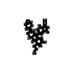 CCCC/C(=C1/CN(C2CCOCC2)CC/C1=C/c1c(CC)cccc1CCC)c1ccc2[nH]ccc2c1